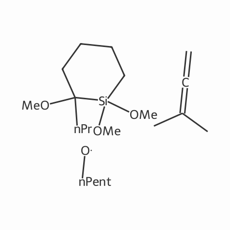 C=C=C(C)C.CCCC1(OC)CCCC[Si]1(OC)OC.CCCCC[O]